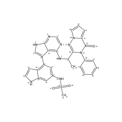 CC(Nc1ncnc2[nH]cc(-c3cc(NS(C)(=O)=O)cc4[nH]ccc34)c12)c1nn2cccc2c(=O)n1-c1ccccc1